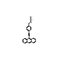 [N-]=[N+]=NCc1ccc(C#Cc2c3ccccc3cc3ccccc23)cc1